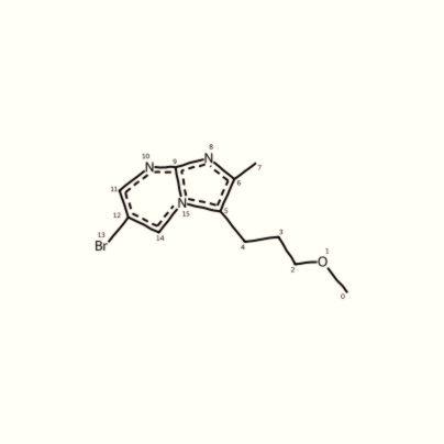 COCCCc1c(C)nc2ncc(Br)cn12